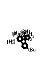 CC(C)(C)c1ccc2c(c1)Cc1c-2ccc(C(C)(C)C)[c]1[Zr]([CH3])([CH3])([CH3])([CH3])(=[SiH2])(=[SiH2])[C]1=CC=CC1.Cl.Cl